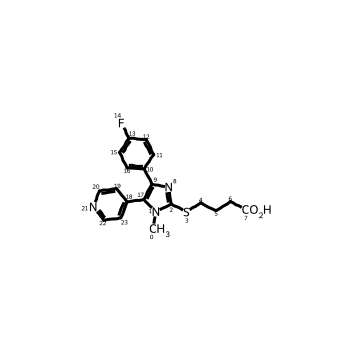 Cn1c(SCCCC(=O)O)nc(-c2ccc(F)cc2)c1-c1ccncc1